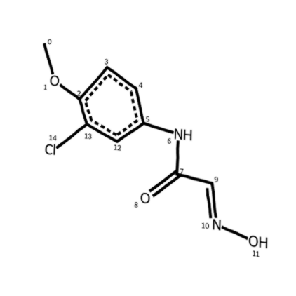 COc1ccc(NC(=O)C=NO)cc1Cl